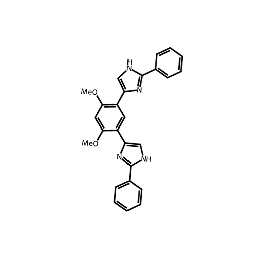 COc1cc(OC)c(-c2c[nH]c(-c3ccccc3)n2)cc1-c1c[nH]c(-c2ccccc2)n1